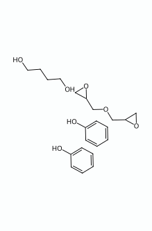 C(OCC1CO1)C1CO1.OCCCCO.Oc1ccccc1.Oc1ccccc1